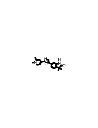 CC1=CC(c2ncc(-c3ccc4c(c3)NC(=O)C4(C)C)o2)=CCN1C